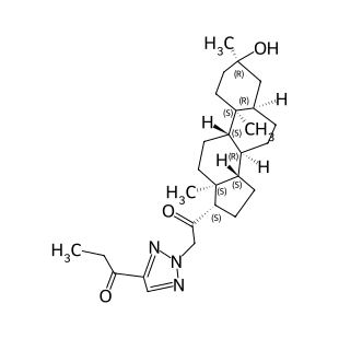 CCC(=O)c1cnn(CC(=O)[C@H]2CC[C@H]3[C@@H]4CC[C@@H]5C[C@](C)(O)CC[C@]5(C)[C@H]4CC[C@]23C)n1